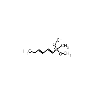 CC/C=C/C=C/[Si](C)(OC)OC